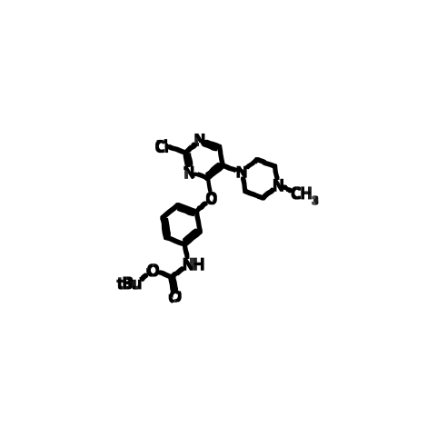 CN1CCN(c2cnc(Cl)nc2Oc2cccc(NC(=O)OC(C)(C)C)c2)CC1